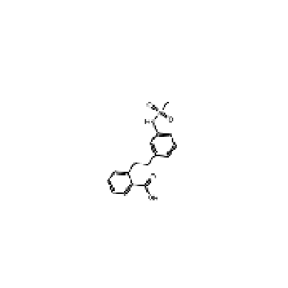 CS(=O)(=O)Nc1cccc(CCc2ccccc2C(=O)O)c1